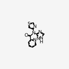 O=C(c1ccccn1)N(c1cscn1)c1nc[nH]n1